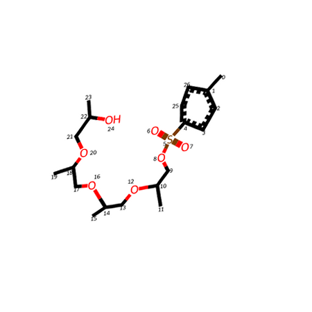 Cc1ccc(S(=O)(=O)OCC(C)OCC(C)OCC(C)OCC(C)O)cc1